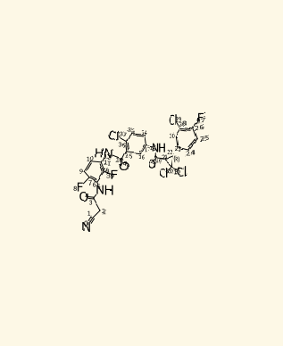 N#CCC(=O)Nc1c(F)ccc(NC(=O)c2cc(NC(=O)C3[C@H](c4ccc(F)c(Cl)c4)C3(Cl)Cl)ccc2Cl)c1F